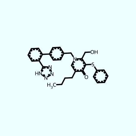 CCCCc1cn(Cc2ccc(-c3ccccc3-c3nnn[nH]3)cc2)c(CO)c(Sc2ccccc2)c1=O